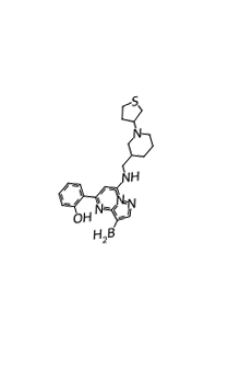 Bc1cnn2c(NCC3CCCN(C4CCSC4)C3)cc(-c3ccccc3O)nc12